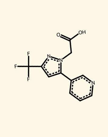 O=C(O)Cn1nc(C(F)(F)F)cc1-c1cccnc1